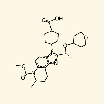 COC(=O)N1c2ccc3c(nc([C@@H](C)OC4CCOCC4)n3C3CCC(C(=O)O)CC3)c2CCC1C